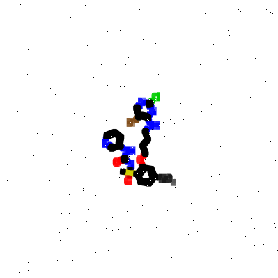 CS(=O)(=NC(=O)Nc1cccnc1)c1ccc([N+](=O)[O-])cc1OCCCCNc1nc(Cl)ncc1Br